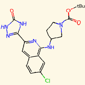 CC(C)(C)OC(=O)N1CCC(Nc2nc(-c3n[nH]c(=O)[nH]3)cc3ccc(Cl)cc23)C1